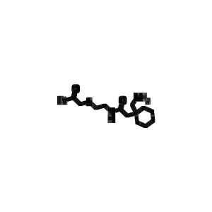 CCC(=O)CSCCNC(=O)CC1(CN)CCCCC1